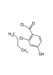 CCCC.O=C(Cl)c1ccc(O)cc1Cl